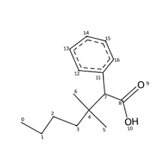 CCCCC(C)(C)C(C(=O)O)c1ccccc1